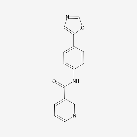 O=C(Nc1ccc(-c2cnco2)cc1)c1cccnc1